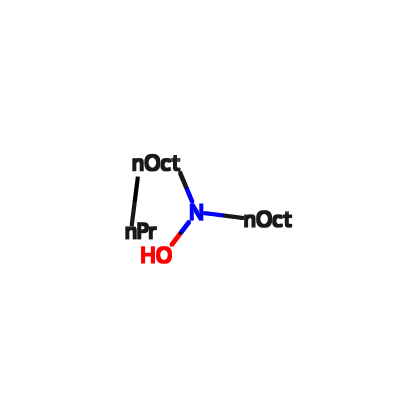 CCCC.CCCCCCCCN(O)CCCCCCCC